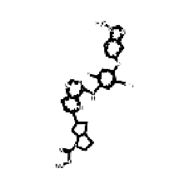 Cc1cc(Nc2ncnc3ccc(C4CC5CCN(C(=O)OC(C)(C)C)C5C4)nc23)c(F)cc1Oc1ccc2c(c1)ncn2C